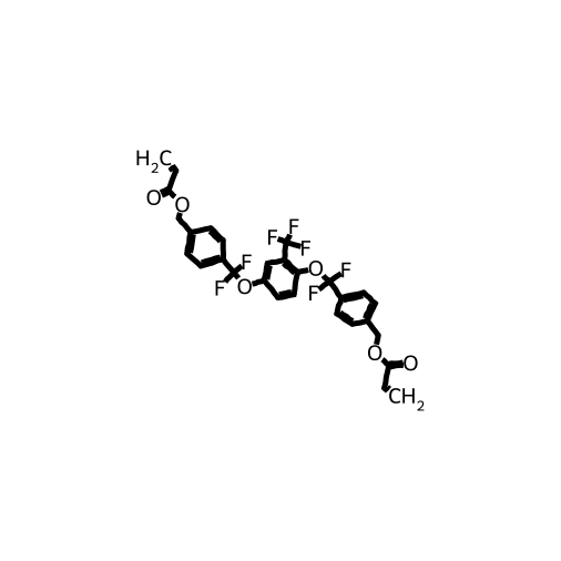 C=CC(=O)OCc1ccc(C(F)(F)Oc2ccc(OC(F)(F)c3ccc(COC(=O)C=C)cc3)c(C(F)(F)F)c2)cc1